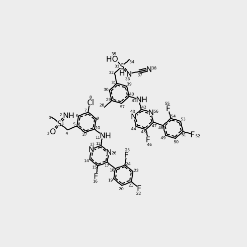 CS(=N)(=O)Cc1cc(Cl)cc(Nc2ncc(F)c(-c3ccc(F)cc3F)n2)c1.Cc1cc(C[SH](C)(O)=NC#N)cc(Nc2ncc(F)c(-c3ccc(F)cc3F)n2)c1